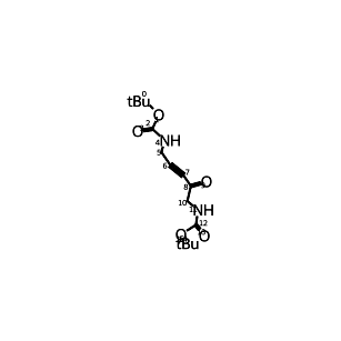 CC(C)(C)OC(=O)NCC#CC(=O)CNC(=O)OC(C)(C)C